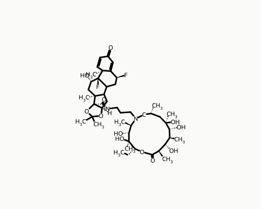 CC[C@H]1OC(=O)[C@H](C)[C@@H](O)[C@H](C)[C@@H](O)[C@](C)(O)C[C@@H](C)CN(CCCNC(=O)[C@@]23OC(C)(C)O[C@@H]2CC2C4C[C@H](F)C5=CC(=O)C=C[C@]5(C)[C@@]4(F)[C@@H](O)C[C@@]23C)[C@H](C)[C@@H](O)[C@]1(C)O